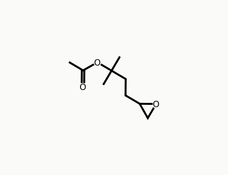 CC(=O)OC(C)(C)CCC1CO1